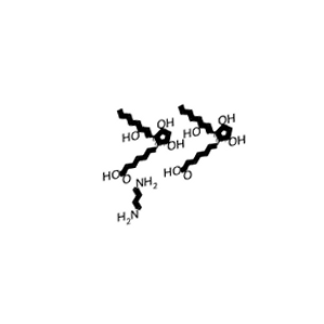 CCCCC[C@H](O)C=C[C@@H]1[C@@H](CCCCCCC(=O)O)[C@@H](O)C[C@H]1O.CCCCC[C@H](O)C=C[C@@H]1[C@@H](CCCCCCC(=O)O)[C@@H](O)C[C@H]1O.NCCCCN